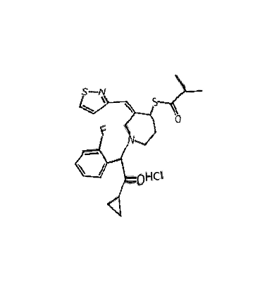 CC(C)C(=O)SC1CCN(C(C(=O)C2CC2)c2ccccc2F)C/C1=C\c1ccsn1.Cl